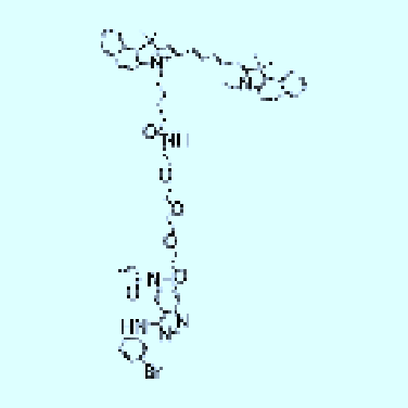 C=CC(=O)Nc1cc2c(Nc3cccc(Br)c3)ncnc2cc1OCCOCCOCCOCCNC(=O)CCCCC[N+]1=C(/C=C/C=C/C=C/C=C2\N(CC)c3ccc4ccccc4c3C2(C)C)C(C)(C)c2c1ccc1ccccc21